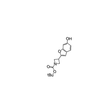 CC(C)(C)OC(=O)N1CC(c2cc3ccc(O)cc3o2)C1